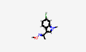 CON=C(C)c1cn(C)c2cc(F)ccc12